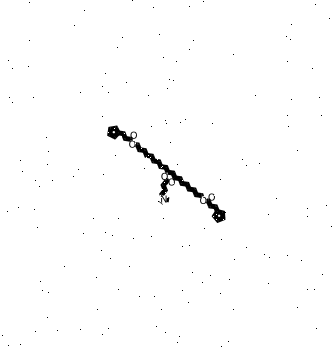 CN(C)CCCC(=O)OC(CCCCCCCCCOC(=O)CCC1CCCC1)CCCCCCCCCOC(=O)CCC1CCCC1